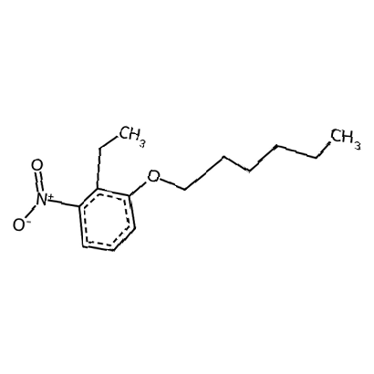 CCCCCCOc1cccc([N+](=O)[O-])c1CC